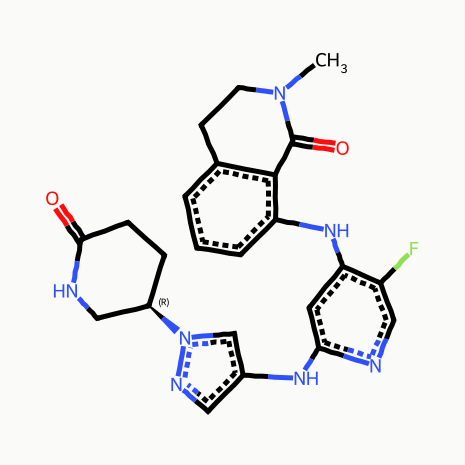 CN1CCc2cccc(Nc3cc(Nc4cnn([C@@H]5CCC(=O)NC5)c4)ncc3F)c2C1=O